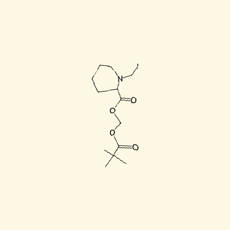 CC(C)(C)C(=O)OCOC(=O)C1CCCCN1CI